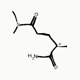 C[C@H](C[CH]C(=O)N(C)C)C(N)=O